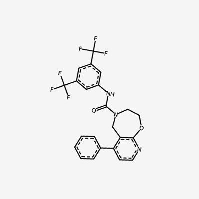 O=C(Nc1cc(C(F)(F)F)cc(C(F)(F)F)c1)N1CCOc2nccc(-c3ccccc3)c2C1